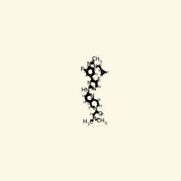 Cc1nc2c(F)cc(-c3nc(Nc4ccc5c(n4)CCN(C(=O)CN(C)C)C5)ncc3F)cc2n1CC1CC1